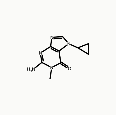 Cn1c(N)nc2ncn(C3CC3)c2c1=O